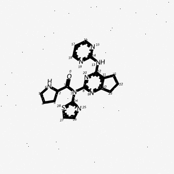 O=C(C1CCCN1)N(c1nc2c(c(Nc3ncccn3)n1)CCC2)c1nccs1